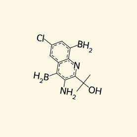 Bc1c(N)c(C(C)(C)O)nc2c(B)cc(Cl)cc12